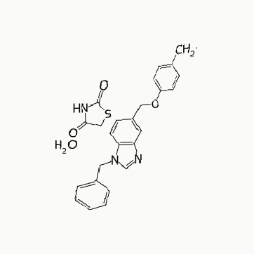 O.O=C1CSC(=O)N1.[CH2]c1ccc(OCc2ccc3c(c2)ncn3Cc2ccccc2)cc1